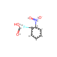 O=CO.O=[N+]([O-])c1ccccc1F